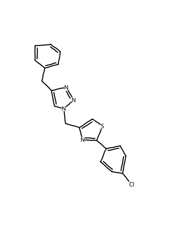 Clc1ccc(-c2nc(Cn3cc(Cc4ccccc4)nn3)cs2)cc1